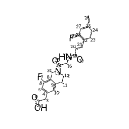 O=C(O)Cc1cc(F)c2c(c1)CCN(C(=O)CNC(=O)/C=C/c1ccc(I)cc1F)C2